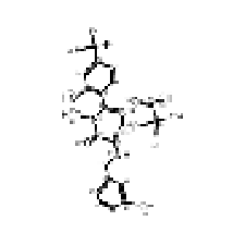 Cn1c(-c2ccc(C(F)(F)F)cc2O)nnc(NCc2cccc(O)c2)c1=O.O=C(O)C(F)(F)F